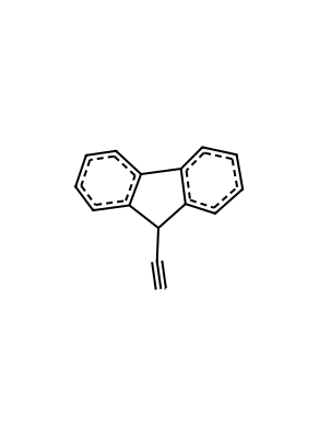 [C]#CC1c2ccccc2-c2ccccc21